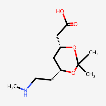 CNCC[C@@H]1C[C@H](CC(=O)O)OC(C)(C)O1